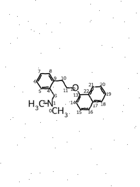 CN(C)Cc1ccccc1CCOc1cccc2ccccc12